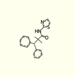 CC(C)(C(=O)Nc1nccs1)C(c1ccccc1)c1ccccc1